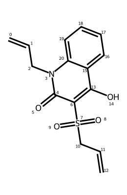 C=CCn1c(=O)c(S(=O)(=O)CC=C)c(O)c2ccccc21